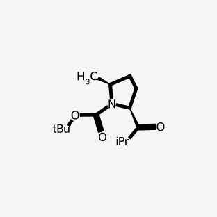 CC(C)C(=O)[C@@H]1CC[C@H](C)N1C(=O)OC(C)(C)C